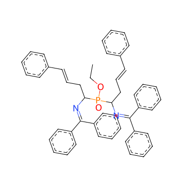 CCOP(=O)(C(CC=Cc1ccccc1)N=C(c1ccccc1)c1ccccc1)C(CC=Cc1ccccc1)N=C(c1ccccc1)c1ccccc1